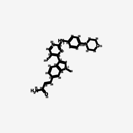 Cn1cc(-c2nc(Nc3ccc(N4CCOCC4)cc3)ncc2F)c2ccc(C=CC(N)=O)cc21